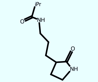 CC(C)C(=O)NCCCC1CCNC1=O